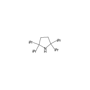 CC(C)C1(C(C)C)CCC(C(C)C)(C(C)C)N1